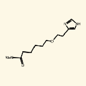 CNC(=O)CCCCCOCCc1c[nH]cn1